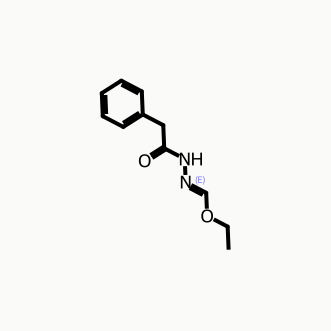 CCO/C=N/NC(=O)Cc1ccccc1